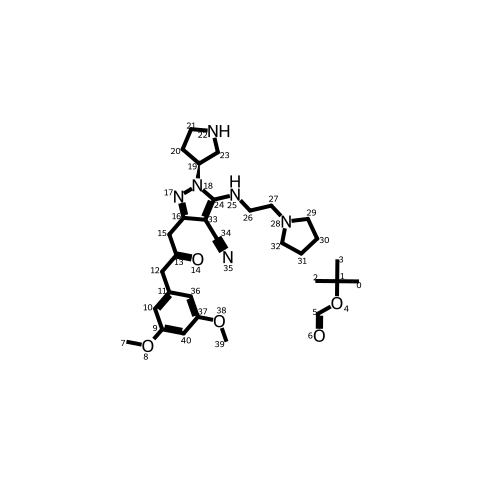 CC(C)(C)OC=O.COc1cc(CC(=O)Cc2nn([C@H]3CCNC3)c(NCCN3CCCC3)c2C#N)cc(OC)c1